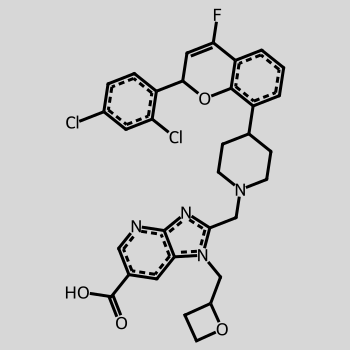 O=C(O)c1cnc2nc(CN3CCC(c4cccc5c4OC(c4ccc(Cl)cc4Cl)C=C5F)CC3)n(CC3CCO3)c2c1